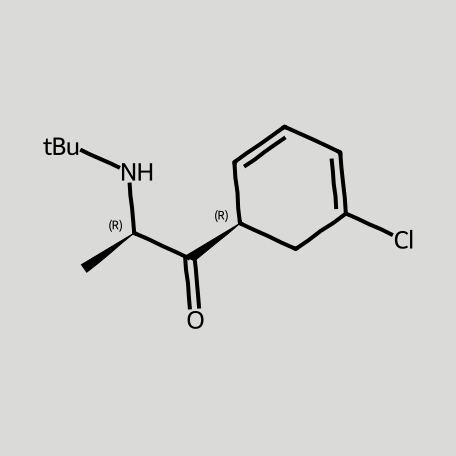 C[C@@H](NC(C)(C)C)C(=O)[C@H]1C=CC=C(Cl)C1